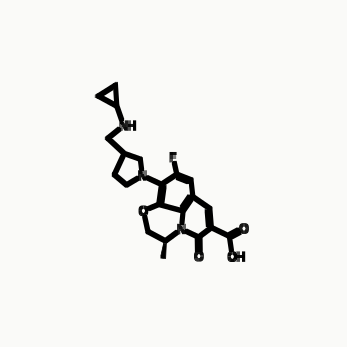 C[C@H]1COc2c(N3CCC(CNC4CC4)C3)c(F)cc3cc(C(=O)O)c(=O)n1c23